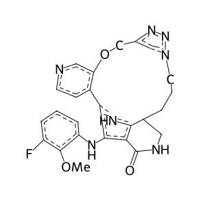 COc1c(F)cccc1Nc1c2[nH]c3c1C(=O)NCC3CCCn1cc(nn1)COc1cnccc1-2